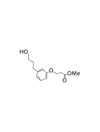 COC(=O)CCOc1cccc(CCCCO)c1